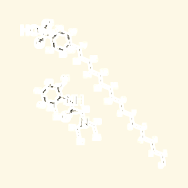 CCCCCCCCCCCCCCCCCCc1ccc(S(=O)(=O)O)cc1.CCN(CC)CC(=O)Nc1c(C)cccc1C